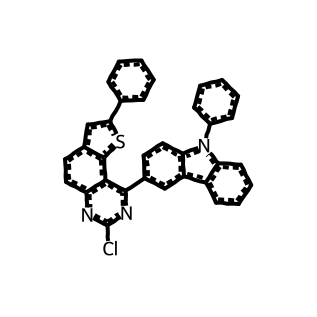 Clc1nc(-c2ccc3c(c2)c2ccccc2n3-c2ccccc2)c2c(ccc3cc(-c4ccccc4)sc32)n1